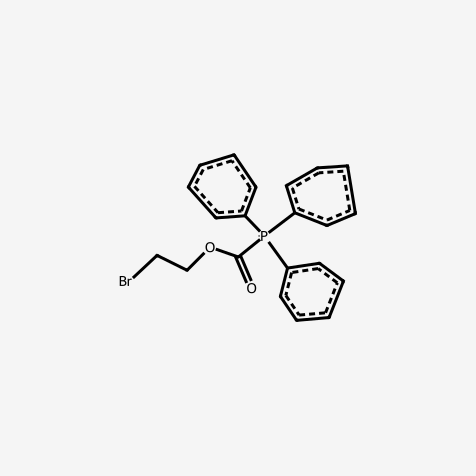 O=C(OCCBr)[P](c1ccccc1)(c1ccccc1)c1ccccc1